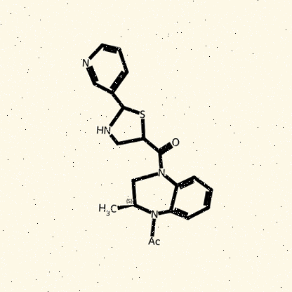 CC(=O)N1c2ccccc2N(C(=O)C2CNC(c3cccnc3)S2)C[C@@H]1C